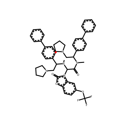 CN(C(=O)C(N(C)C(CN1CCCC1)c1ccc(-c2ccccc2)cc1)n1c(=O)oc2ccc(OC(F)(F)F)cc21)C(CN1CCCC1)c1ccc(-c2ccccc2)cc1